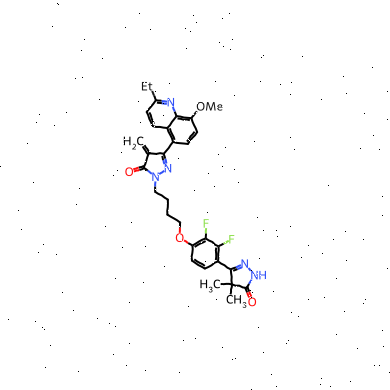 C=C1C(=O)N(CCCCOc2ccc(C3=NNC(=O)C3(C)C)c(F)c2F)N=C1c1ccc(OC)c2nc(CC)ccc12